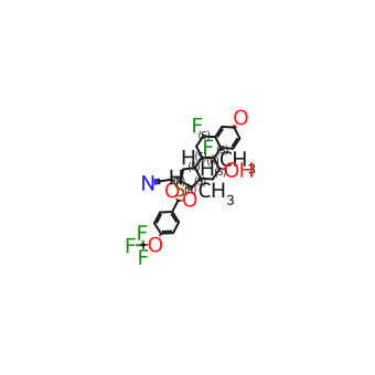 C[C@]12C=CC(=O)C=C1[C@@H](F)C[C@H]1[C@@H]3C[C@H]4OC(c5ccc(OC(F)(F)F)cc5)O[C@@]4(SCC#N)[C@@]3(C)C[C@H](O)[C@@]12F